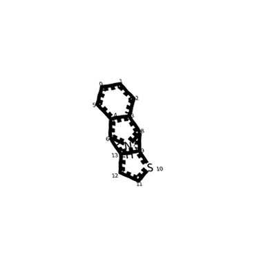 c1ccc2c(c1)c1[nH]c2c2sccc12